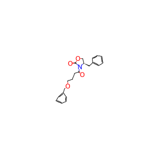 O=C(CCCOCc1ccccc1)N1C(=O)OC[C@H]1Cc1ccccc1